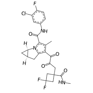 CNC(=O)C1(CC(=O)C(=O)c2c(C)c(C(=O)Nc3ccc(F)c(Cl)c3)n3c2C[C@H]2C[C@H]23)CC(F)(F)C1